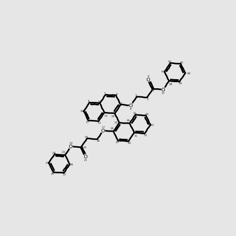 O=C(CCOc1ccc2ccccc2c1-c1c(OCCC(=O)Oc2ccccc2)ccc2ccccc12)Oc1ccccc1